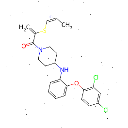 C=C(S/C=C\C)C(=O)N1CCC(Nc2ccccc2Oc2ccc(Cl)cc2Cl)CC1